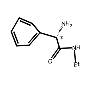 CCNC(=O)[C@@H](N)c1ccccc1